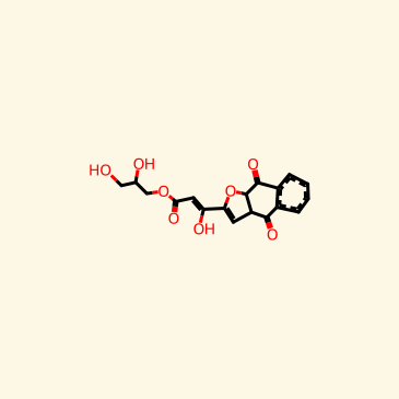 O=C(/C=C(\O)C1=CC2C(=O)c3ccccc3C(=O)C2O1)OCC(O)CO